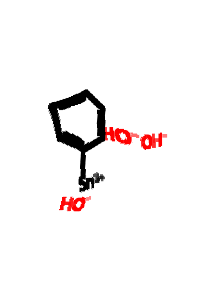 [OH-].[OH-].[OH-].[Sn+3][c]1ccccc1